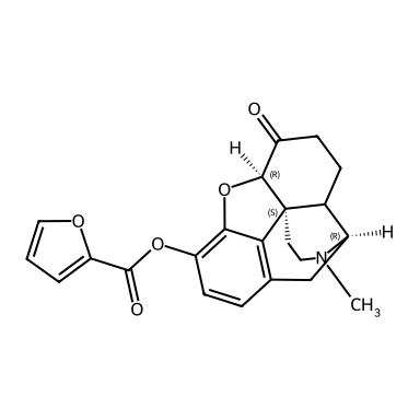 CN1CC[C@]23c4c5ccc(OC(=O)c6ccco6)c4O[C@H]2C(=O)CCC3[C@H]1C5